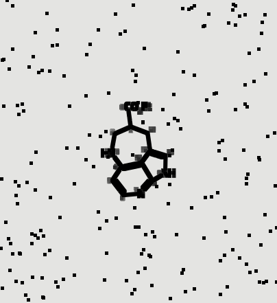 CCOC(=O)C1CNc2ccnc3[nH]cc(c23)C1